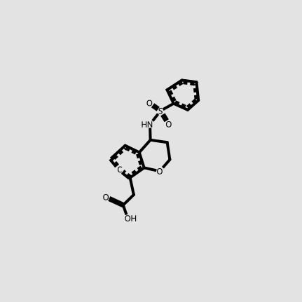 O=C(O)Cc1cccc2c1OCCC2NS(=O)(=O)c1ccccc1